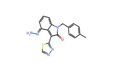 Cc1ccc(CN2C(=O)C(c3nncs3)=C3C2=CC=CC3=NN)cc1